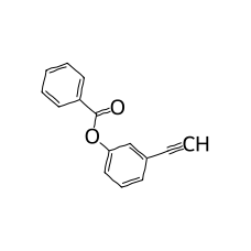 C#Cc1cccc(OC(=O)c2ccccc2)c1